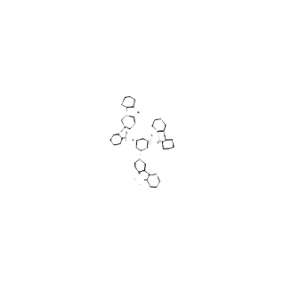 CC1(C)c2ccccc2-c2cc3c4ccccc4n(-c4cc(-c5ccc6oc7ccccc7c6c5)cc(-n5c6ccccc6c6ccccc65)c4)c3cc21